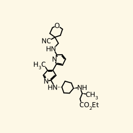 CCOC(=O)C[C@H](C)N[C@H]1CC[C@H](Nc2cc(-c3cccc(NCC4(C#N)CCOCC4)n3)c(C)cn2)CC1